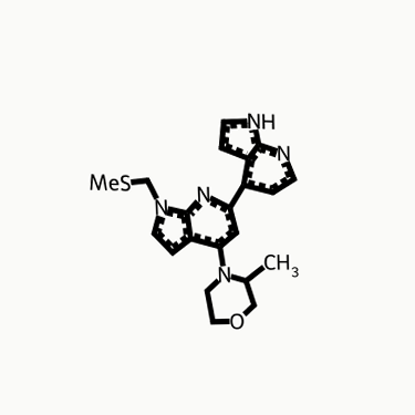 CSCn1ccc2c(N3CCOCC3C)cc(-c3ccnc4[nH]ccc34)nc21